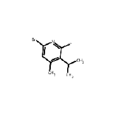 Cc1cc(Br)nc(F)c1C(C)C